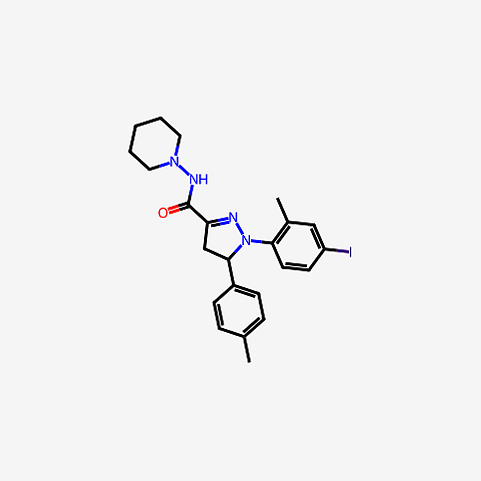 Cc1ccc(C2CC(C(=O)NN3CCCCC3)=NN2c2ccc(I)cc2C)cc1